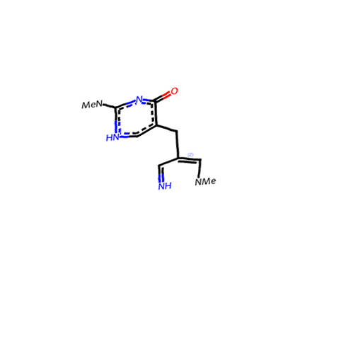 CN/C=C(\C=N)Cc1c[nH]c(NC)nc1=O